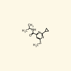 CSc1cc(C(=O)NC(C)C)nc(C2CC2)n1